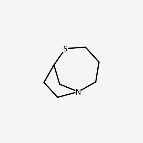 C1CSC2CCN(C1)C2